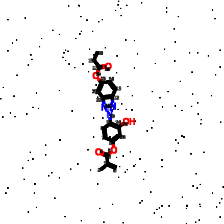 C=C(C)C(=O)Oc1ccc(-n2n3c4ccc(OC(=O)CC)cc4n23)c(O)c1